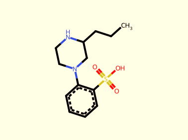 CCCC1CN(c2ccccc2S(=O)(=O)O)CCN1